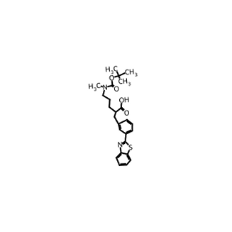 CN(CCCC(Cc1cccc(-c2nc3ccccc3s2)c1)C(=O)O)C(=O)OC(C)(C)C